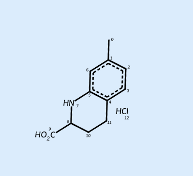 Cc1ccc2c(c1)NC(C(=O)O)CC2.Cl